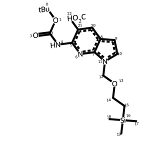 CC(C)(C)OC(=O)Nc1nc2c(ccn2COCC[Si](C)(C)C)cc1C(=O)O